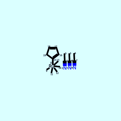 CC#N.CC#N.CC#N.[CH3][Ru]([CH3])([CH3])([CH3])([CH3])[C]1=CC=CC1